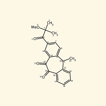 COC(C)(C)C(=O)c1ccc2c(c1)c(=O)c(=O)c1ccccc1n2C